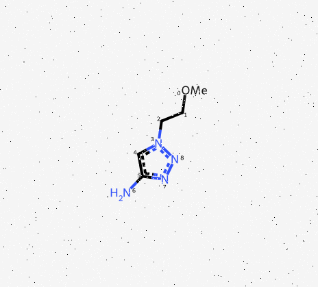 COCCn1cc(N)nn1